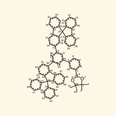 CC1(C)OB(c2cccc(-c3cc(-c4ccc5c(c4)C4(c6ccccc6-c6ccccc64)c4ccccc4-5)nc(-c4cccc5c4-c4ccccc4C5(c4ccccc4)c4ccccc4)n3)c2)OC1(C)C